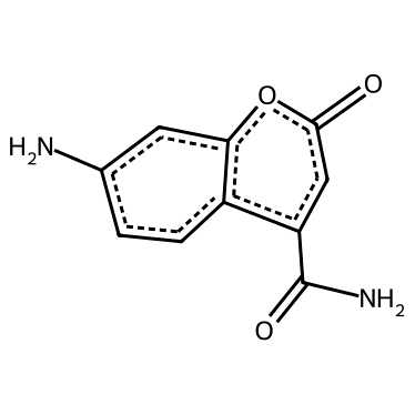 NC(=O)c1cc(=O)oc2cc(N)ccc12